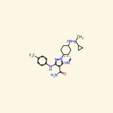 C[C@H](NC1CC[C@H](n2cc(C(N)=O)c(Nc3ccc(C(F)(F)F)cc3)n2)[C@@H](C=N)C1)C1CC1